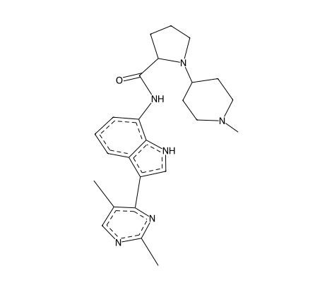 Cc1ncc(C)c(-c2c[nH]c3c(NC(=O)C4CCCN4C4CCN(C)CC4)cccc23)n1